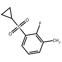 Cc1cccc(S(=O)(=O)C2CC2)c1F